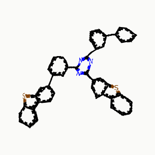 c1ccc(-c2cccc(-c3nc(-c4cccc(-c5ccc6c(c5)sc5ccccc56)c4)nc(-c4ccc5c(c4)sc4ccccc45)n3)c2)cc1